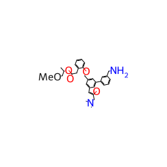 COCC(C)OC(=O)Cc1ccccc1OCc1cc(-c2cccc(CN)c2)c2oc(CN(C)C)cc2c1